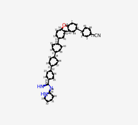 N#Cc1ccc(-c2ccc3oc4ccc(-c5ccc(-c6ccc(-c7ccc(C(=N)/N=c8/cccc[nH]8)cc7)cc6)cc5)cc4c3c2)cc1